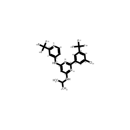 CC(C)Nc1cc(Nc2ccnc(C(F)(F)F)c2)nc(-c2cc(Cl)cc(C(F)(F)F)c2)n1